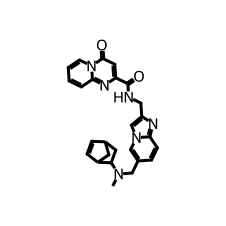 CN(Cc1ccc2nc(CNC(=O)c3cc(=O)n4ccccc4n3)cn2c1)C1CC2C=CC1C2